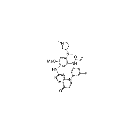 C=CC(=O)Nc1cc(Nc2ncc3c(=O)ccn(-c4cccc(F)c4)c3n2)c(OC)cc1N(C)C1CCN(C)C1